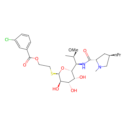 CCC[C@@H]1C[C@@H](C(=O)N[C@@H]([C@H]2O[C@H](SCCOC(=O)c3cccc(Cl)c3)[C@H](O)[C@@H](O)[C@H]2O)[C@@H](C)OC)N(C)C1